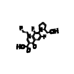 O=C(O)c1cn(CCF)c2c(F)c(N3CCCC3CO)c(F)cc2c1=O